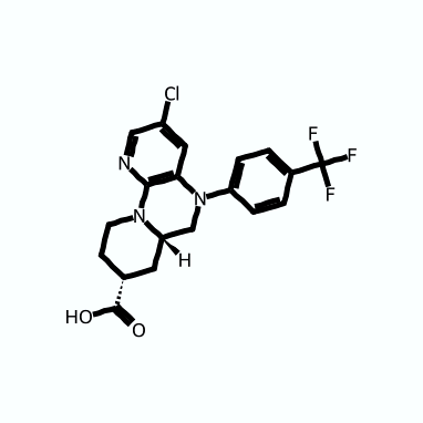 O=C(O)[C@@H]1CCN2c3ncc(Cl)cc3N(c3ccc(C(F)(F)F)cc3)C[C@@H]2C1